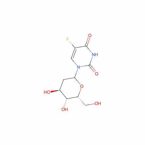 O=c1[nH]c(=O)n(C2C[C@H](O)[C@@H](O)[C@@H](CO)O2)cc1F